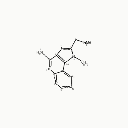 CNCc1nc2c(N)nc3ccccc3c2n1C